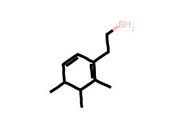 BCCC1=C(C)C(C)C(C)C=C1